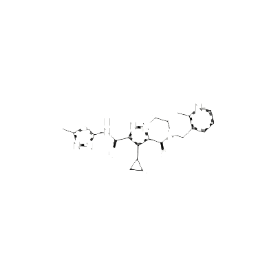 Cc1nnc(NC(=O)c2nn3c(c2C2CC2)C(=O)N(Cc2cccnc2C)CC3)s1